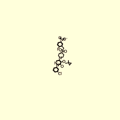 CC1(COc2c(N3CCN(S(=O)(=O)Cc4cc([N+](=O)[O-])ccc4F)CC3)cnn(-c3cccc(Cl)c3)c2=O)CC1